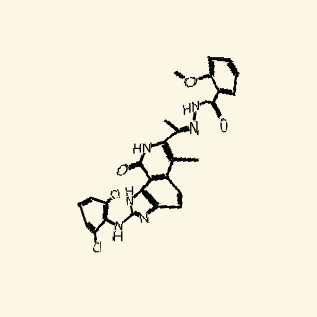 COc1ccccc1C(=O)NN=C(C)c1[nH]c(=O)c2c(ccc3nc(Nc4c(Cl)cccc4Cl)[nH]c32)c1C